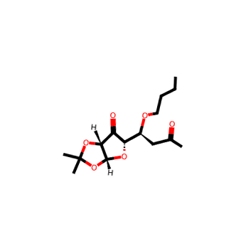 CCCCO[C@@H](CC(C)=O)[C@@H]1O[C@@H]2OC(C)(C)O[C@@H]2C1=O